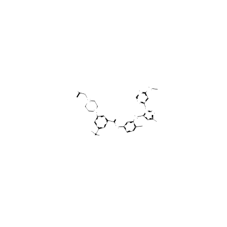 CNc1cc(-n2nc(C)cc2Nc2cc(NC(=O)c3cc(N4CCN([C@@H](C)C(=O)O)CC4)cc(C(F)(F)F)c3)ccc2C)ncn1